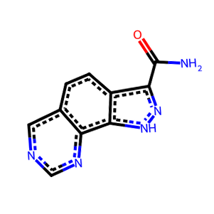 NC(=O)c1n[nH]c2c1ccc1cncnc12